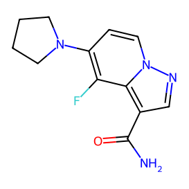 NC(=O)c1cnn2ccc(N3CCCC3)c(F)c12